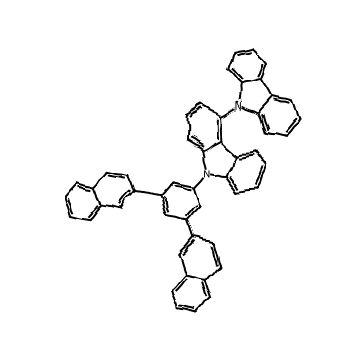 c1ccc2cc(-c3cc(-c4ccc5ccccc5c4)cc(-n4c5ccccc5c5c(-n6c7ccccc7c7ccccc76)cccc54)c3)ccc2c1